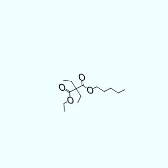 CCCCCOC(=O)C(CC)(CC)C(=O)OCC